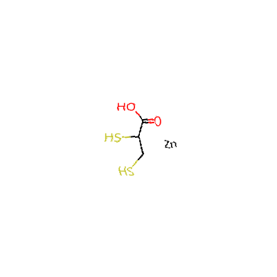 O=C(O)C(S)CS.[Zn]